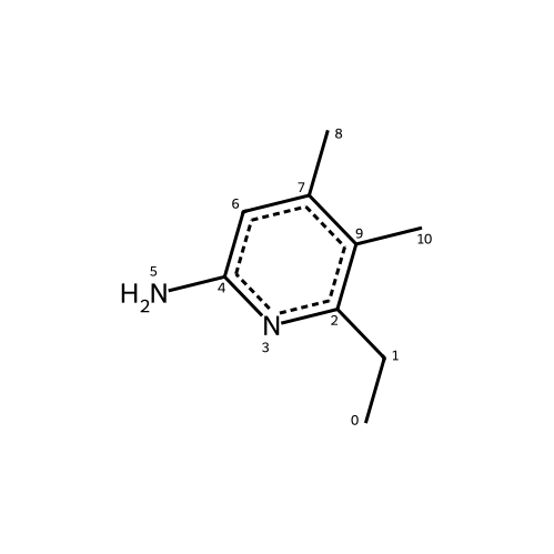 CCc1nc(N)cc(C)c1C